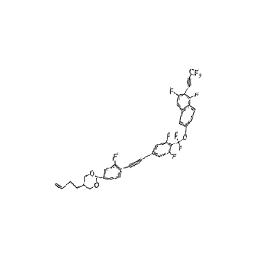 C=CCCC1COC(c2ccc(C#Cc3cc(F)c(C(F)(F)Oc4ccc5c(F)c(C#CC(F)(F)F)c(F)cc5c4)c(F)c3)c(F)c2)OC1